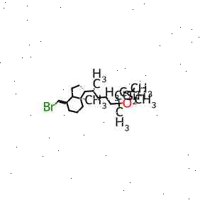 C[C@H](CCC[C@@](C)(O[Si](C)(C)C)C(=O)O)[C@H]1CCC2C(=CBr)CCC[C@@]21C